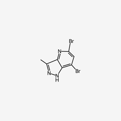 Cc1n[nH]c2c(Br)cc(Br)nc12